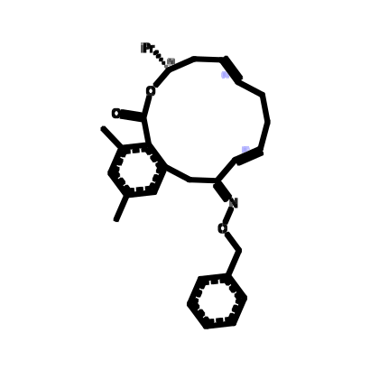 Cc1cc(C)c2c(c1)CC(=NOCc1ccccc1)/C=C/CC/C=C/C[C@@H](C(C)C)OC2=O